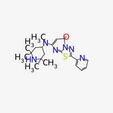 CN(c1cc(=O)n2nc(-c3ccccn3)sc2n1)C1CC(C)(C)NC(C)(C)C1